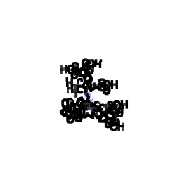 CC1(C)C(/C=C/C(=C/C=C2/N(CCCS(=O)(=O)O)c3ccc4c(S(=O)(=O)O)cc(S(=O)(=O)O)cc4c3C2(C)C)c2ccc(C(=O)ON3C(=O)CCC3=O)cn2)=[N+](CCCS(=O)(=O)O)c2ccc3c(S(=O)(=O)O)cc(S(=O)(=O)O)cc3c21